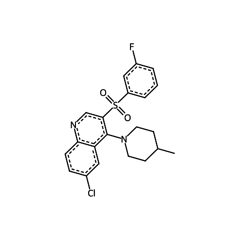 CC1CCN(c2c(S(=O)(=O)c3cccc(F)c3)cnc3ccc(Cl)cc23)CC1